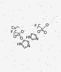 O=S(=O)([O-])C(F)(F)F.O=S(=O)([O-])C(F)(F)F.[Cu+2].c1c[nH]cn1.c1c[nH]cn1